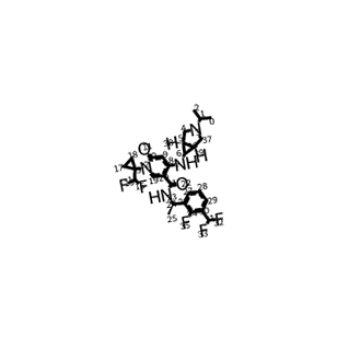 CC(C)N1C[C@@H]2C(Nc3cc(=O)n(C4(C(F)F)CC4)cc3C(=O)N[C@H](C)c3cccc(C(F)F)c3F)[C@@H]2C1